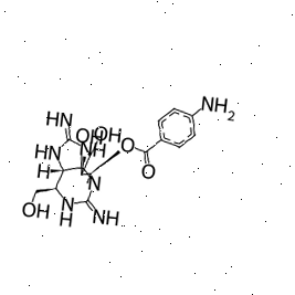 N=C1N[C@H]2[C@H](CO)NC(=N)N3C[C@H](OC(=O)c4ccc(N)cc4)C(O)(O)[C@]23N1